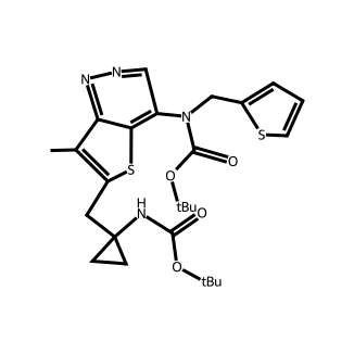 Cc1c(CC2(NC(=O)OC(C)(C)C)CC2)sc2c(N(Cc3cccs3)C(=O)OC(C)(C)C)cnnc12